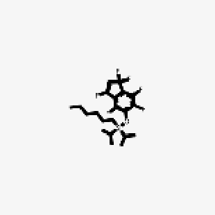 CCCCCC[Si](Oc1c(F)c(F)c2c(c1F)C(F)=[C]C2(F)F)(C(C)C)C(C)C